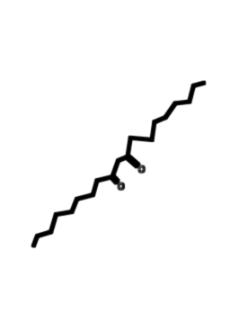 CCCCCCCCC(=O)CC(=O)CCCCCCCC